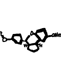 CCOc1ccc([C@@H]2Oc3ccc(OC)cc3[C@H]3CCC[C@H]32)cc1